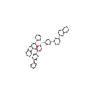 c1cc(-c2ccc(N(c3ccc(-c4ccc5c(c4)oc4ccccc45)cc3)c3ccccc3-c3ccc4c(c3)sc3ccccc34)cc2)cc(-c2ccc3ccccc3c2)c1